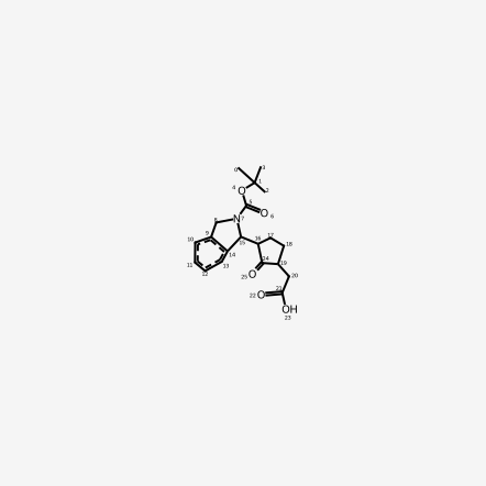 CC(C)(C)OC(=O)N1Cc2ccccc2C1C1CCC(CC(=O)O)C1=O